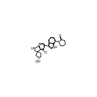 O=C1CCCCN1c1cccc2c(-c3cnc4c(c3Cl)[C@@]3(CC[C@H](O)C3)CN4)c[nH]c12